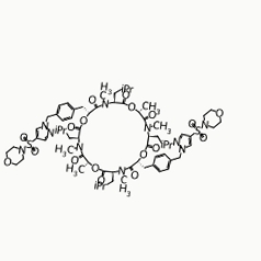 CC(C)C[C@H]1C(=O)O[C@H](Cc2ccc(Cn3cc(S(=O)(=O)N4CCOCC4)cn3)cc2)C(=O)N(C)[C@@H](CC(C)C)C(=O)O[C@H](C)C(=O)N(C)[C@@H](CC(C)C)C(=O)O[C@H](Cc2ccc(Cn3cc(S(=O)(=O)N4CCOCC4)cn3)cc2)C(=O)N(C)[C@@H](CC(C)C)C(=O)O[C@H](C)C(=O)N1C